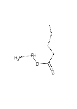 C=C(CCCC)OPP